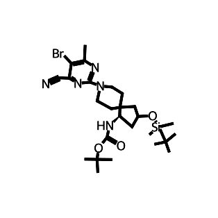 Cc1nc(N2CCC3(CC2)CC(O[Si](C)(C)C(C)(C)C)C[C@H]3NC(=O)OC(C)(C)C)nc(C#N)c1Br